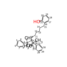 CC(C)(c1ccccc1)C(CCCCCCc1ccccc1O)C(C)(C)c1ccccc1